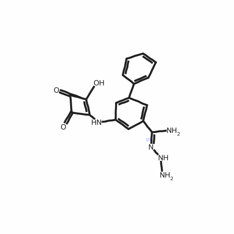 NN/N=C(\N)c1cc(Nc2c(O)c(=O)c2=O)cc(-c2ccccc2)c1